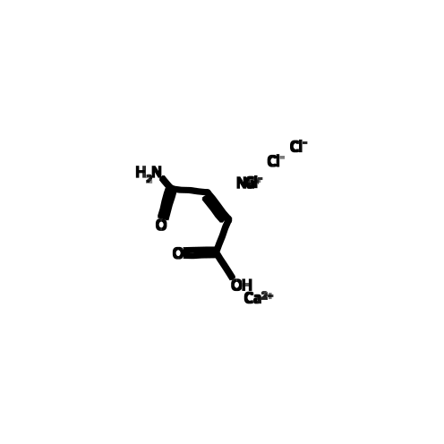 NC(=O)/C=C\C(=O)O.[Ca+2].[Cl-].[Cl-].[Cl-].[Na+]